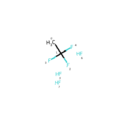 CC(F)(F)F.F.F.F